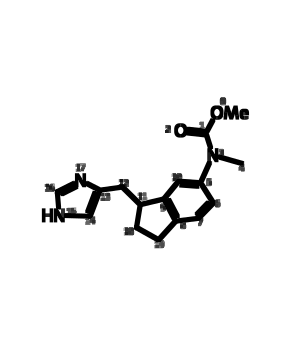 COC(=O)N(C)c1ccc2c(c1)C(Cc1c[nH]cn1)CC2